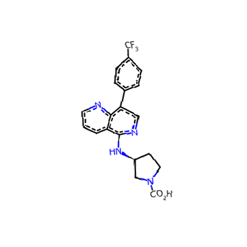 O=C(O)N1CC[C@H](Nc2ncc(-c3ccc(C(F)(F)F)cc3)c3ncccc23)C1